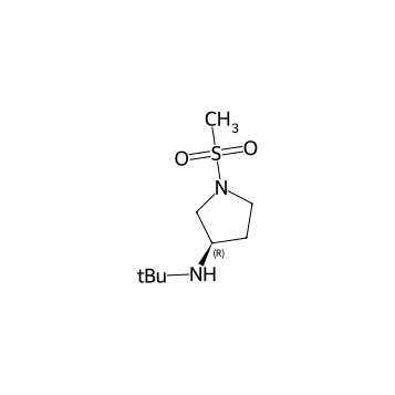 CC(C)(C)N[C@@H]1CCN(S(C)(=O)=O)C1